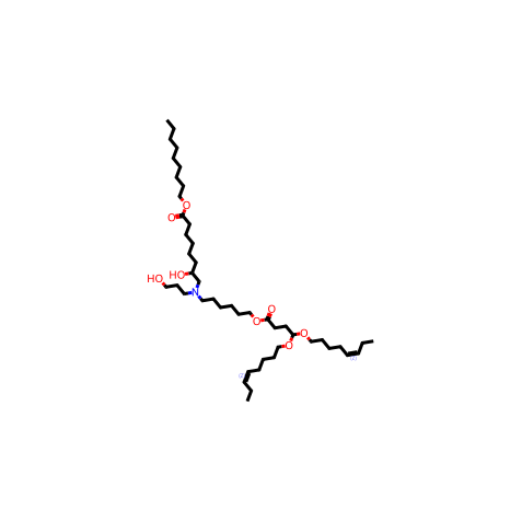 CC/C=C\CCCCOC(CCC(=O)OCCCCCCN(CCCO)CC(O)CCCCCC(=O)OCCCCCCCCC)OCCCC/C=C\CC